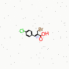 O=C(O)/C(=C/c1ccc(Cl)cc1)CBr